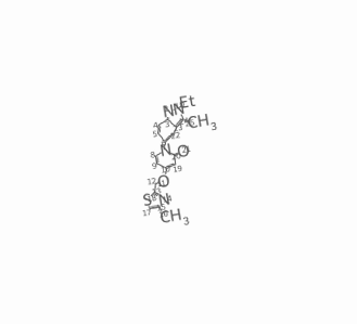 CCn1nc2ccc(-n3ccc(OCc4nc(C)cs4)cc3=O)cc2c1C